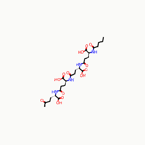 CCCCC(=O)N[C@@H](CCC(=O)N[C@@H](CCC(=O)N[C@@H](CCC(=O)N[C@@H](CCC(C)=O)C(=O)O)C(=O)O)C(=O)O)C(=O)O